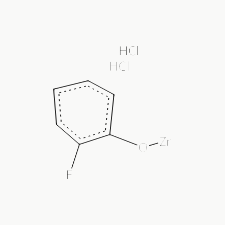 Cl.Cl.Fc1ccccc1[O][Zr]